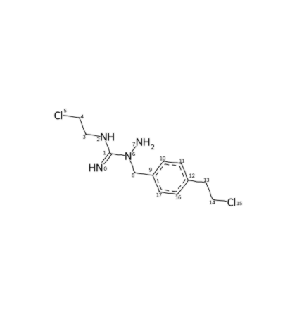 N=C(NCCCl)N(N)Cc1ccc(CCCl)cc1